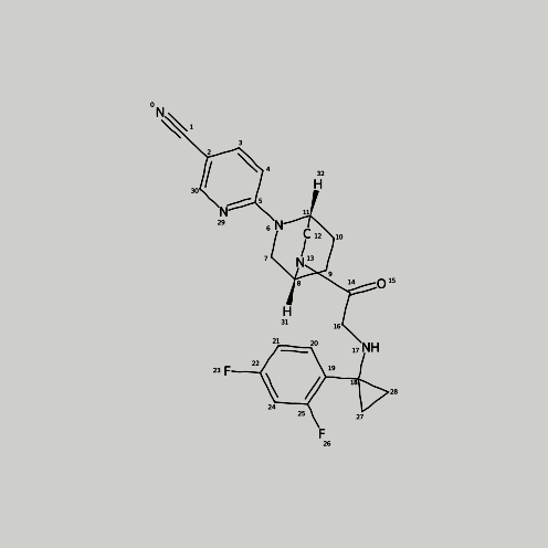 N#Cc1ccc(N2C[C@H]3CC[C@@H]2CN3C(=O)CNC2(c3ccc(F)cc3F)CC2)nc1